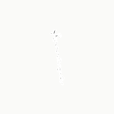 C=C(C)C(=O)OCCCCCCOCCOCCOCC